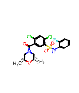 C[C@@H]1CN(C(=O)c2cc(S(=O)(=O)Nc3ccccc3F)c(Cl)cc2Cl)C[C@H](C)O1